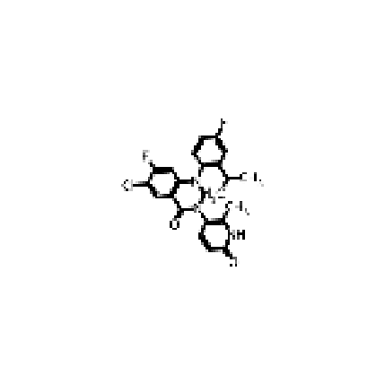 Cc1[nH]c(=O)ccc1N1CN(c2ccc(F)cc2C(C)C)c2cc(F)c(Cl)cc2C1=O